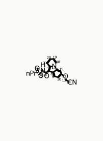 CCCS(=O)(=O)NC(=O)c1c2ccc(OCC#N)cc2n2ccccc12